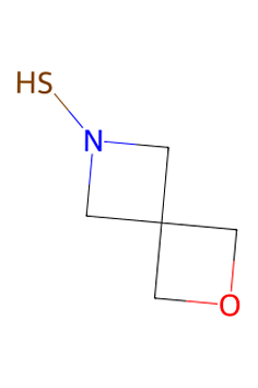 SN1CC2(COC2)C1